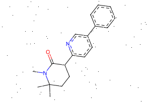 CN1C(=O)C(c2ccc(-c3ccccc3)cn2)CCC1(C)C